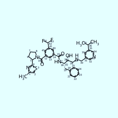 Cc1csc(C2CCCN2C(=O)c2cc(C(=O)N[C@@H](Cc3ccccc3)[C@H](O)CNCc3cncc(C(C)C)c3)cc(C(F)F)c2)n1